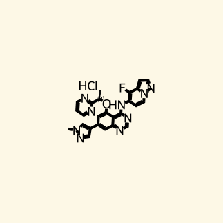 C[C@@H](Oc1cc(-c2cnn(C)c2)cc2ncnc(Nc3ccn4nccc4c3F)c12)c1ncccn1.Cl